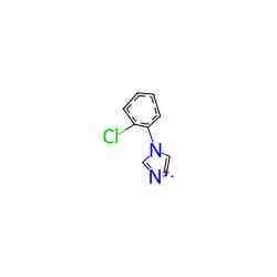 Clc1ccccc1N1C=C[N+]=C1